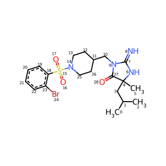 CC(C)CC1(C)NC(=N)N(CC2CCN(S(=O)(=O)c3ccccc3Br)CC2)C1=O